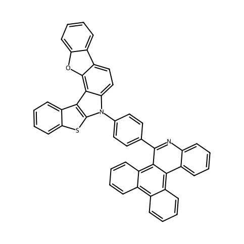 c1ccc2c(c1)nc(-c1ccc(-n3c4ccc5c6ccccc6oc5c4c4c5ccccc5sc43)cc1)c1c3ccccc3c3ccccc3c21